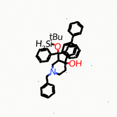 CC(C)(C)[SiH2]OC(c1ccccc1)(c1ccccc1)C1CN(Cc2ccccc2)CCC1(O)c1ccc(-c2ccccc2)cc1